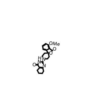 COc1cccc2c1C(=O)OC21CCN(c2nc3c(c(=O)[nH]2)CCCC3)CC1